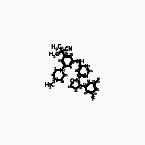 CN1CCN(c2cc(Nc3cc(N4OCCC4c4cc(F)cc(F)c4)ncn3)cc(C(C)(C)C#N)c2)CC1